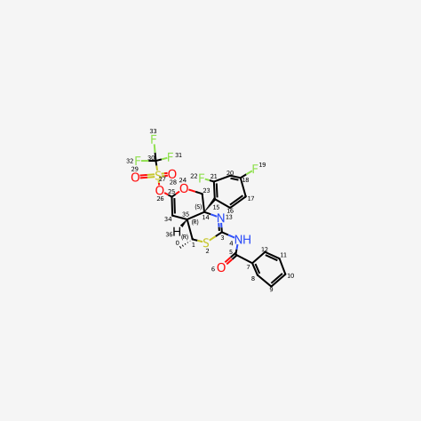 C[C@H]1SC(NC(=O)c2ccccc2)=N[C@@]2(c3ccc(F)cc3F)COC(OS(=O)(=O)C(F)(F)F)=C[C@@H]12